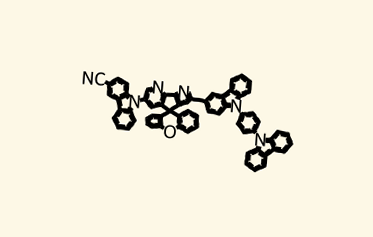 N#Cc1ccc2c(c1)c1ccccc1n2-c1cnc2c(c1)C1(c3ccccc3Oc3ccccc31)c1cc(-c3ccc4c(c3)c3ccccc3n4-c3ccc(-n4c5ccccc5c5ccccc54)cc3)cnc1-2